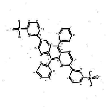 CP(C)(=O)c1cccc(-c2ccc3c(-c4ccccc4)c4cc(-c5cccc(P(C)(C)=O)c5)ccc4c(-c4ccccc4)c3c2)c1